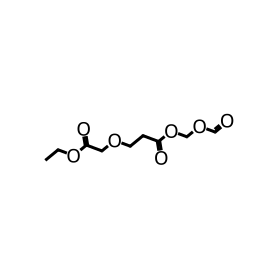 CCOC(=O)COCCC(=O)OCOC=O